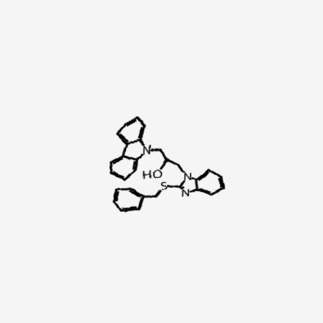 OC(Cn1c(SCc2ccccc2)nc2ccccc21)Cn1c2ccccc2c2ccccc21